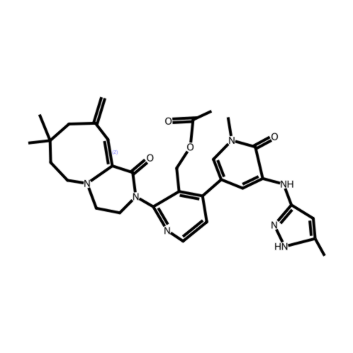 C=C1/C=C2/C(=O)N(c3nccc(-c4cc(Nc5cc(C)[nH]n5)c(=O)n(C)c4)c3COC(C)=O)CCN2CCC(C)(C)C1